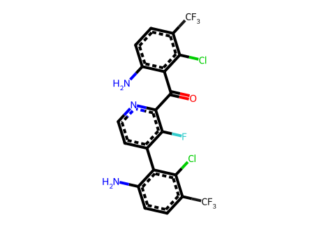 Nc1ccc(C(F)(F)F)c(Cl)c1C(=O)c1nccc(-c2c(N)ccc(C(F)(F)F)c2Cl)c1F